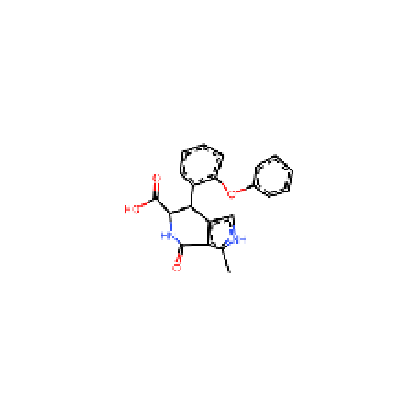 Cc1[nH]cc2c1C(=O)NC(C(=O)O)C2c1ccccc1Oc1ccccc1